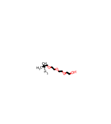 CC(C)(C)COCCOCCOCCO